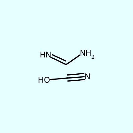 N#CO.N=CN